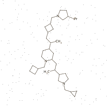 CC(C)C1CCN(CC2CC(CC(C)C3CCN(CC4CCC4)C(CC(C)C4CCN(CC5CC5)C4)C3)C2)C1